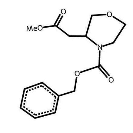 COC(=O)CC1COCCN1C(=O)OCc1ccccc1